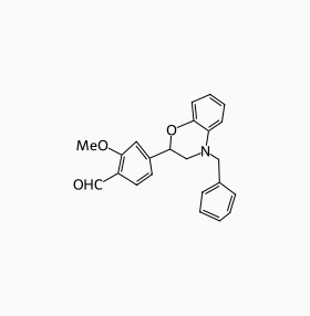 COc1cc(C2CN(Cc3ccccc3)c3ccccc3O2)ccc1C=O